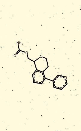 NC(=O)OCC1OCCc2c(-c3cccnc3)cccc21